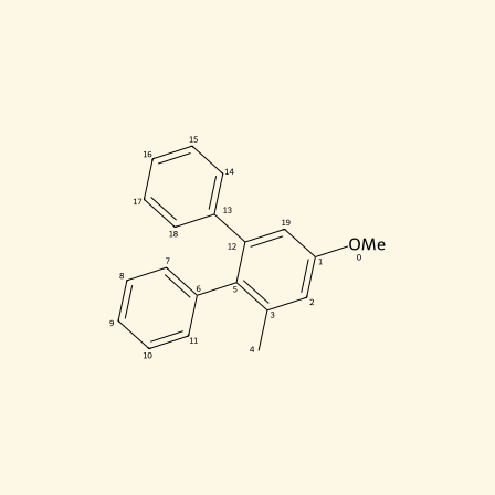 COc1cc(C)c(-c2ccccc2)c(-c2ccccc2)c1